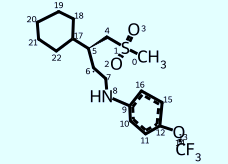 CS(=O)(=O)C[C@@H]([CH]CNc1ccc(OC(F)(F)F)cc1)C1CCCCC1